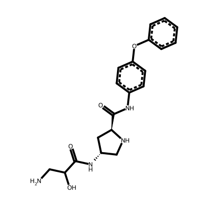 NCC(O)C(=O)N[C@H]1CN[C@H](C(=O)Nc2ccc(Oc3ccccc3)cc2)C1